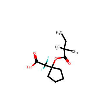 CCC(C)(C)C(=O)OC1(C(F)(F)C(=O)O)CCCC1